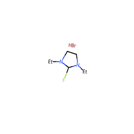 Br.CCN1CCN(CC)C1F